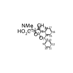 CNC(C(=O)O)[C@@H]1OC(OC(c2ccccc2)c2ccccc2)C[C@H]1C